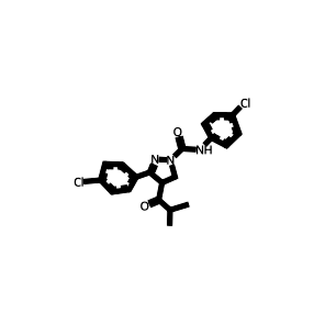 CC(C)C(=O)C1CN(C(=O)Nc2ccc(Cl)cc2)N=C1c1ccc(Cl)cc1